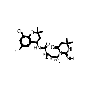 C[C@H]([C@@H]1C[C@H]1C(=O)NC1CC(C)(C)Oc2c(Cl)cc(Cl)cc21)N1C(=N)NC(C)(C)CC1=O